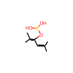 CC(C)=CC(OP(O)O)=C(C)C